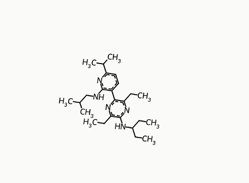 CCc1nc(-c2ccc(C(C)C)nc2NCC(C)C)c(CC)nc1NC(CC)CC